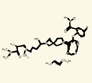 CCCC(CCCN(C)CC(C)C(=O)N(C)C)N1CC2(CCN(c3ncnnc3Oc3ccc(F)cc3C(=O)N(CC)C(C)C)C2)C1.O=C(O)/C=C/C(=O)O